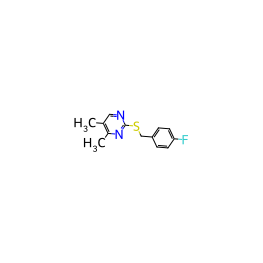 Cc1cnc(SCc2ccc(F)cc2)nc1C